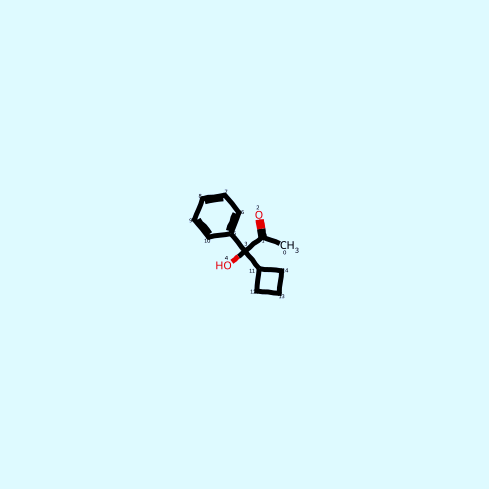 CC(=O)C(O)(c1ccccc1)C1CCC1